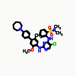 COc1cc(-c2ccc(N3CCCCCC3)cc2)c(C)cc1Nc1ncc(Cl)c(Nc2ccccc2S(=O)(=O)N(C)C)n1